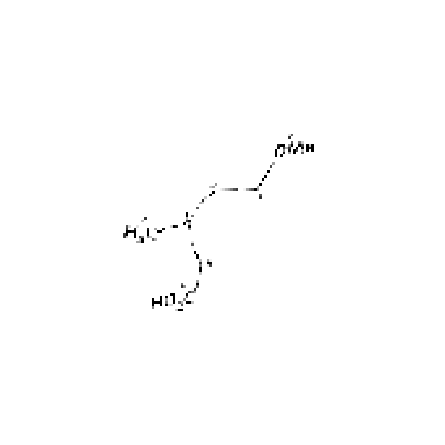 COCCC(C)CC(=O)O